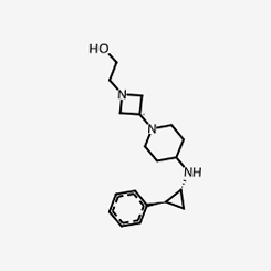 OCCN1C[C](N2CCC(N[C@@H]3C[C@H]3c3ccccc3)CC2)C1